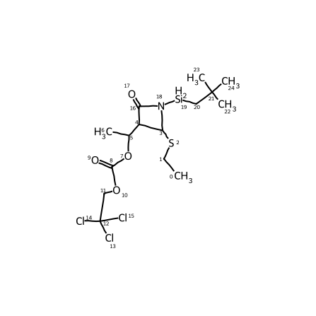 CCSC1C(C(C)OC(=O)OCC(Cl)(Cl)Cl)C(=O)N1[SiH2]CC(C)(C)C